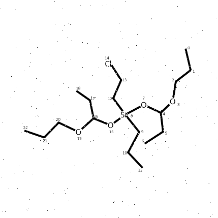 CCCOC(CC)O[Si](CCC)(CCCl)OC(CC)OCCC